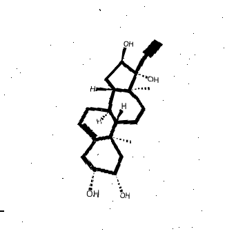 C#C[C@]1(O)[C@H](O)C[C@H]2[C@@H]3CC=C4C[C@@H](O)[C@@H](O)C[C@]4(C)[C@H]3CC[C@@]21C